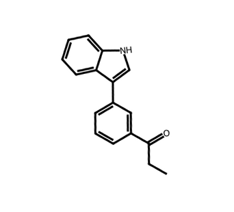 CCC(=O)c1cccc(-c2c[nH]c3ccccc23)c1